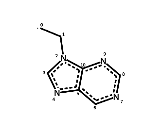 [CH2]Cn1cnc2cncnc21